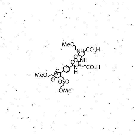 COCCNC(=O)C(CCC(=O)O)NC(=O)[C@H](CCC(=O)O)NC(=O)c1ccc(C(=O)C(CS(=O)(=O)CCOC)CS(=O)(=O)CCOC)cc1